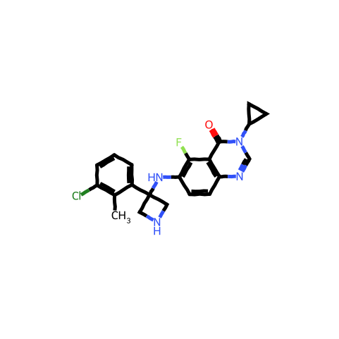 Cc1c(Cl)cccc1C1(Nc2ccc3ncn(C4CC4)c(=O)c3c2F)CNC1